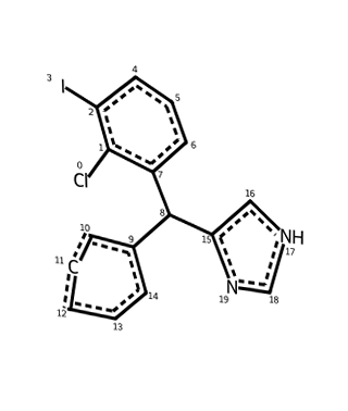 Clc1c(I)cccc1C(c1ccccc1)c1c[nH]cn1